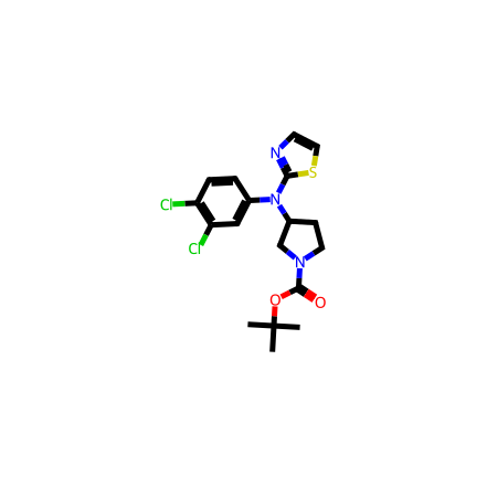 CC(C)(C)OC(=O)N1CCC(N(c2ccc(Cl)c(Cl)c2)c2nccs2)C1